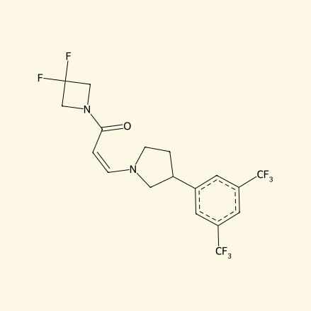 O=C(/C=C\N1CCC(c2cc(C(F)(F)F)cc(C(F)(F)F)c2)C1)N1CC(F)(F)C1